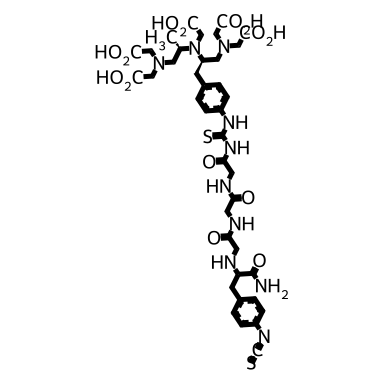 C[C@@H](CN(CC(=O)O)CC(=O)O)N(CC(=O)O)[C@H](Cc1ccc(NC(=S)NC(=O)CNC(=O)CNC(=O)CNC(Cc2ccc(N=C=S)cc2)C(N)=O)cc1)CN(CC(=O)O)CC(=O)O